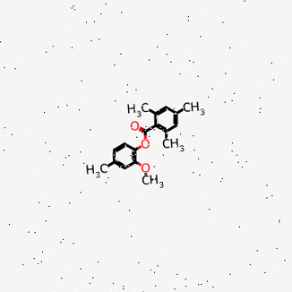 COc1cc(C)ccc1OC(=O)c1c(C)cc(C)cc1C